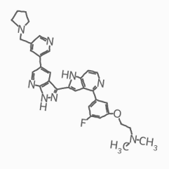 CN(C)CCOc1cc(F)cc(-c2nccc3[nH]c(-c4n[nH]c5ncc(-c6cncc(CN7CCCC7)c6)cc45)cc23)c1